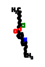 CCCCCCC[C@@H](Cl)COC(=O)c1ccc(-c2ccc(CCCCC)cn2)cc1